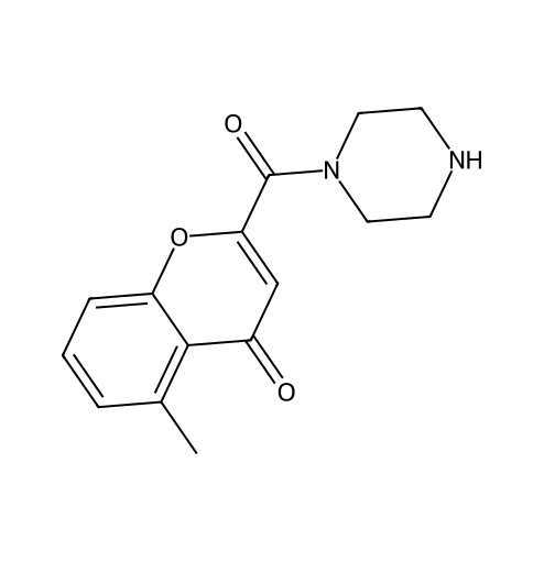 Cc1cccc2oc(C(=O)N3CCNCC3)cc(=O)c12